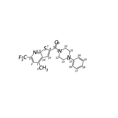 Cc1cc(C(F)(F)F)nc2sc(C(=O)N3CCN(c4ccccc4)CC3)cc12